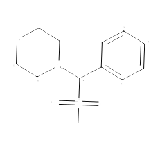 O=S(=O)(O)C(c1ccccc1)N1CCOCC1